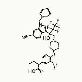 CCC(C(=O)O)c1ccc(OC2CCN(CC(O)(c3cn(Cc4ccccc4)c4cc(C#N)ccc34)C(F)(F)C(F)(F)F)CC2)c(OC)c1